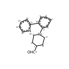 O=CC1CCN(c2ccccc2-c2ccccn2)CC1